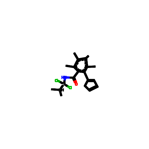 Cc1c(C)c(C)c(C2=CC=CC2)c(C(=O)[NH][Ti]([Cl])([Cl])[SiH](C)C)c1C